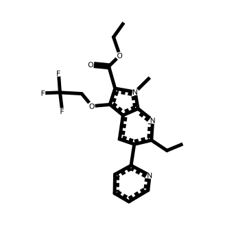 CCOC(=O)c1c(OCC(F)(F)F)c2cc(-c3ccccn3)c(CC)nc2n1C